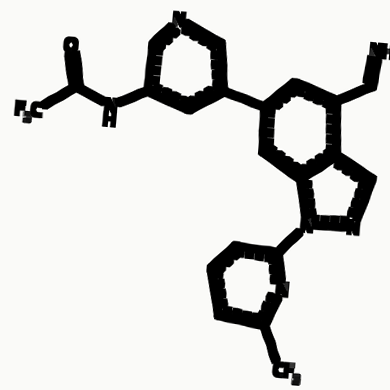 N=Cc1cc(-c2cncc(NC(=O)C(F)(F)F)c2)cc2c1cnn2-c1cccc(C(F)(F)F)n1